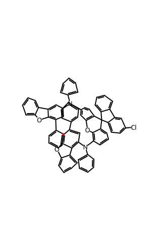 Clc1ccc2c(c1)-c1ccccc1C21c2ccc(N(c3ccccc3)c3cc(-c4ccccc4)c4oc5ccccc5c4c3)cc2Oc2c(N(c3ccccc3)c3cc(-c4ccccc4)cc4oc5ccccc5c34)cccc21